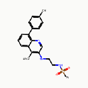 COc1c(NCCNS(=O)(=O)C(C)C)cnc2c(-c3ccc(C#N)cc3)cccc12